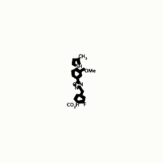 COCc1cc(-c2nc(Cc3ccc(C(=O)O)c(F)c3)no2)ccc1[SH]1C=CC(C)=C1